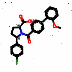 COc1ccccc1-c1ccc(C(=O)N2[C@@H](c3ccc(F)cc3)CC[C@H]2C(=O)O)cc1